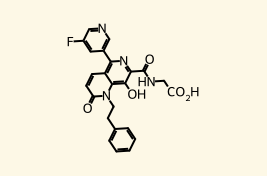 O=C(O)CNC(=O)c1nc(-c2cncc(F)c2)c2ccc(=O)n(CCc3ccccc3)c2c1O